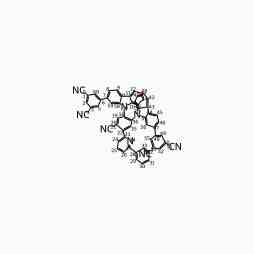 N#Cc1cc(C#N)cc(-c2ccc3c4ccccc4n(-c4cc(C#N)c(-c5cccc(-c6ccccc6)n5)cc4-n4c5ccccc5c5ccc(-c6cc(C#N)cc(C#N)c6)cc54)c3c2)c1